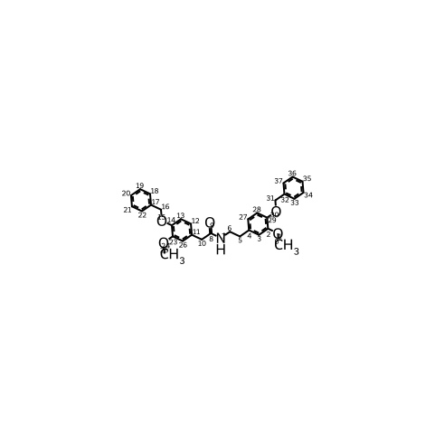 COc1cc(CCNC(=O)Cc2ccc(OCc3ccccc3)c(OC)c2)ccc1OCc1ccccc1